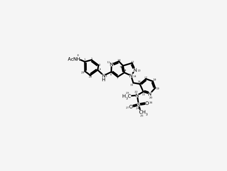 CC(=O)Nc1ccc(Nc2cc3c(cn2)cnn3Cc2cccnc2N(C)S(C)(=O)=O)cc1